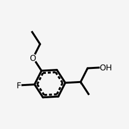 CCOc1cc([C](C)CO)ccc1F